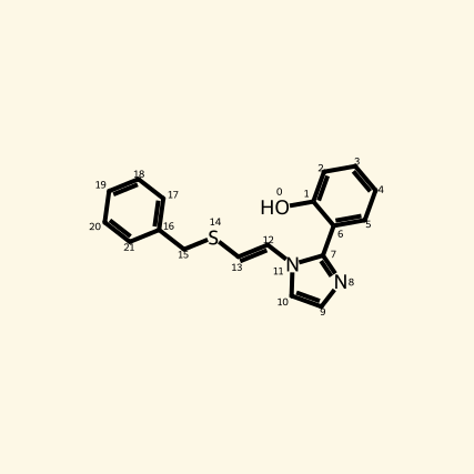 Oc1ccccc1-c1nccn1C=CSCc1ccccc1